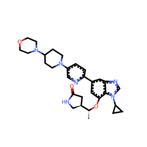 C[C@@H](Oc1cc(-c2ccc(N3CCC(N4CCOCC4)CC3)cn2)cc2ncn(C3CC3)c12)[C@H]1CNC(=O)C1